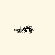 O=C(NC1CS(O)(O)C1)c1ccc(C2=NOC(c3cc(Cl)c(F)c(Cl)c3)(C(F)(F)F)C2)c2ccoc12